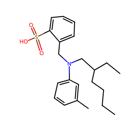 CCCCC(CC)CN(Cc1ccccc1S(=O)(=O)O)c1cccc(C)c1